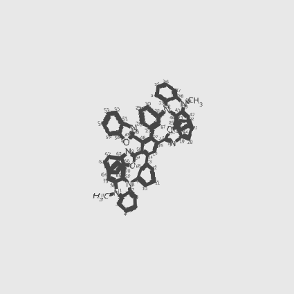 CN1c2ccccc2N(c2cccc(-c3cc(-c4nc5ccccc5o4)c(-c4cccc(N5c6ccccc6N(C)c6ccccc65)c4)c(-c4nc5ccccc5o4)c3-c3nc4ccccc4o3)c2)c2ccccc21